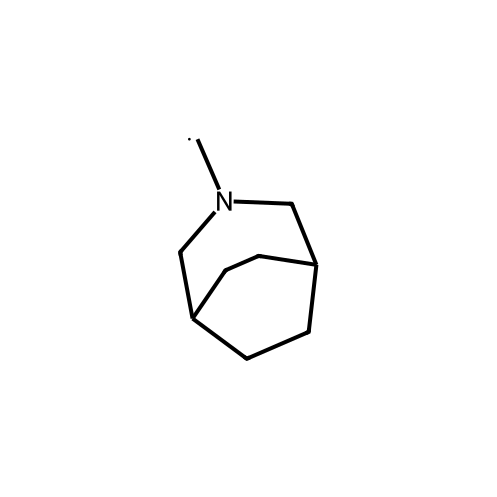 [CH2]N1CC2CCC(CC2)C1